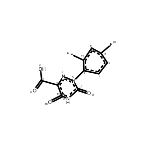 O=C(O)c1nn(-c2ccc(F)cc2F)c(=O)[nH]c1=O